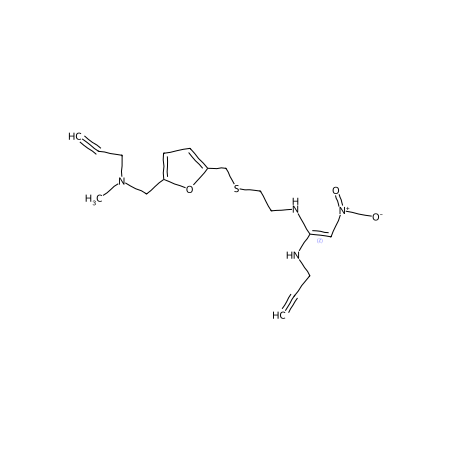 C#CCN/C(=C/[N+](=O)[O-])NCCSCc1ccc(CN(C)CC#C)o1